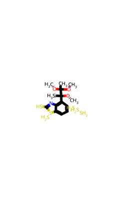 COC(C)(OC)C([SiH3])(OC)c1cccc2sc(S)nc12.S.S.S.S